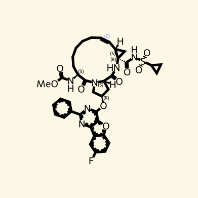 COC(=O)N[C@H]1CCCCC/C=C\[C@@H]2C[C@@]2(C(=O)NS(=O)(=O)C2CC2)NC(=O)[C@@H]2C[C@@H](Oc3nc(-c4ccccc4)nc4c3oc3ccc(F)cc34)CN2C1=O